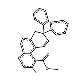 COC(=O)c1c(C)ccc2ccc3c(c12)C=CC(c1ccccc1)(c1ccccc1)C3